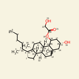 CC(C)CCC[C@@H](C)[C@H]1CC[C@H]2[C@@H]3CC=C4C[C@@H](O)CC(OC(=O)CO)[C@]4(C)[C@H]3CC[C@]12C